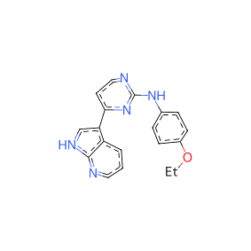 CCOc1ccc(Nc2nccc(-c3c[nH]c4ncccc34)n2)cc1